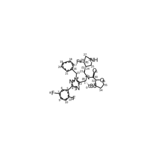 CC(C)(C)[C@H](c1nc(-c2cc(F)ccc2F)nn1Cc1ccccc1)N(C[C@@H]1CNC[C@@H]1F)C(=O)C1CCCO1